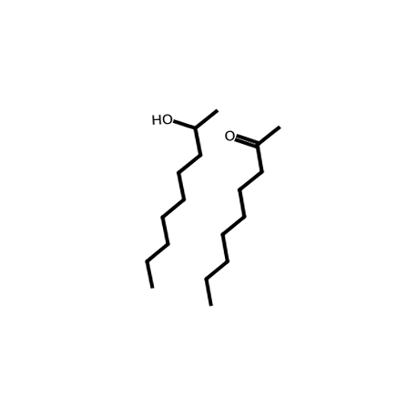 CCCCCCCC(C)=O.CCCCCCCC(C)O